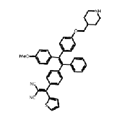 COc1ccc(C(=C(c2ccccc2)c2ccc(C(=C(C#N)C#N)c3cccs3)cc2)c2ccc(OCC3CCNCC3)cc2)cc1